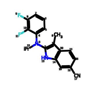 Cc1c(N(c2cccc(F)c2F)C(C)C)[nH]c2cc(C#N)ccc12